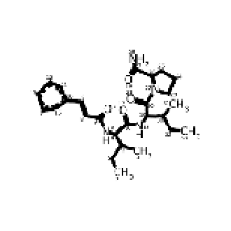 CCC(C)C(NC(=O)/C=C/c1ccccc1)C(=O)NC(C(=O)N1CCCC1C(N)=O)C(C)CC